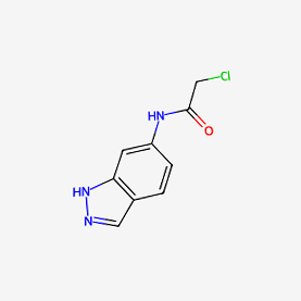 O=C(CCl)Nc1ccc2cn[nH]c2c1